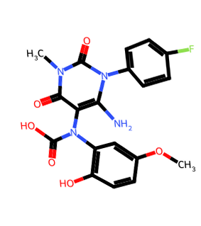 COc1ccc(O)c(N(C(=O)O)c2c(N)n(-c3ccc(F)cc3)c(=O)n(C)c2=O)c1